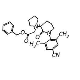 Cc1cc(C#N)cc(C)c1N1CCCC([N+]2(CC(=O)OCc3ccccc3)CCCC2)C1=O